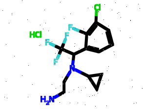 Cl.NCCN(C1CC1)C(c1cccc(Cl)c1F)C(F)(F)F